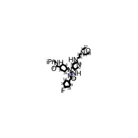 CC(C)NC(=O)C1CCC(n2/c(=N/C(=O)c3ccc(F)cc3)[nH]c3cnc(NCCN4CCOCC4)cc32)CC1